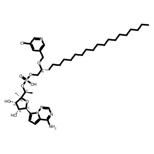 CCCCCCCCCCCCCCCCCCC[C@H](COP(=O)(O)O[C@@H](C)[C@@]1(C)O[C@@H](c2ccc3c(N)ncnn23)[C@H](O)[C@@H]1O)OCc1cncc(Cl)c1